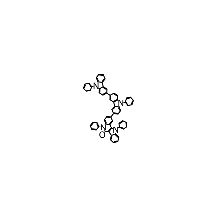 O=c1c2c3ccccc3n(-c3ccccc3)c2c2cc(-c3ccc4c(c3)c3cc(-c5ccc6c(c5)c5ccccc5n6-c5ccccc5)ccc3n4-c3ccccc3)ccc2n1-c1ccccc1